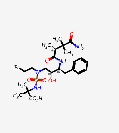 CC(C)CCN(C[C@@H](O)[C@H](Cc1ccccc1)NC(=O)[C@H](C)C(C)(C)C(N)=O)S(=O)(=O)NC(C)(C)C(=O)O